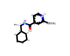 CC(=O)Nc1cc(C(=O)N[C@@H](C)C2CCCCC2)ccn1